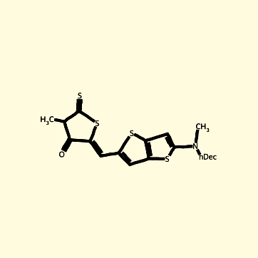 CCCCCCCCCCN(C)c1cc2sc(/C=C3\SC(=S)C(C)C3=O)cc2s1